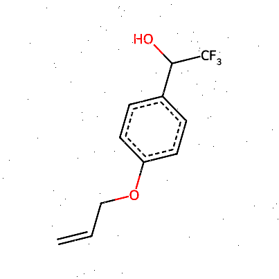 C=CCOc1ccc(C(O)C(F)(F)F)cc1